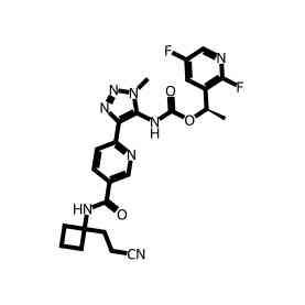 C[C@@H](OC(=O)Nc1c(-c2ccc(C(=O)NC3(CCC#N)CCC3)cn2)nnn1C)c1cc(F)cnc1F